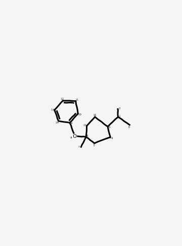 CC(C)C1[CH]CC(C)(Oc2ccccc2)CC1